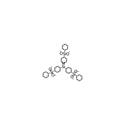 CO[Si](OC)(c1ccccc1)c1ccc([SiH](c2ccc([Si](OC)(OC)c3ccccc3)cc2)c2ccc([Si](OC)(OC)c3ccccc3)cc2)cc1